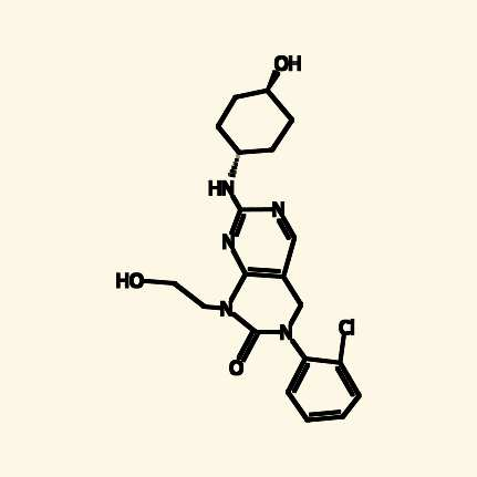 O=C1N(c2ccccc2Cl)Cc2cnc(N[C@H]3CC[C@H](O)CC3)nc2N1CCO